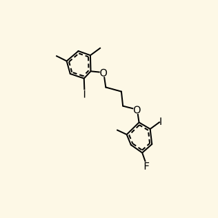 Cc1cc(C)c(OCCCOc2c(C)cc(F)cc2I)c(I)c1